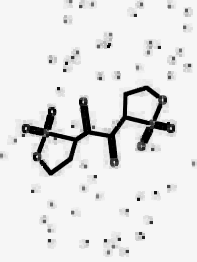 O=C(C(=O)C1CCOS1(=O)=O)C1CCOS1(=O)=O